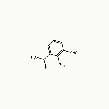 CC(F)c1cccc(C=O)c1[N+](=O)[O-]